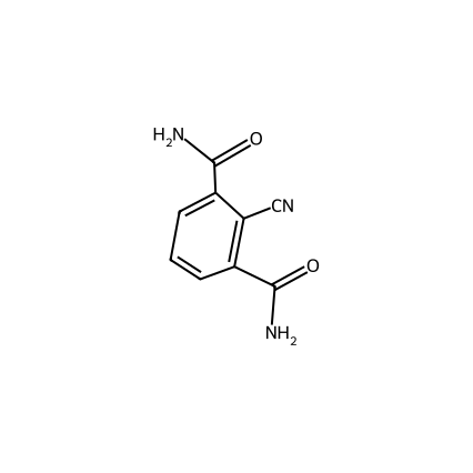 N#Cc1c(C(N)=O)cccc1C(N)=O